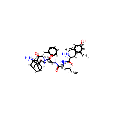 COC(=O)C12CC3CC(CC(N)(C3)C1C(=O)[C@H](Cc1ccccc1)NC(=O)CNC(=O)[C@@H](CCSC)NC(=O)C(N)Cc1c(C)cc(O)cc1C)C2